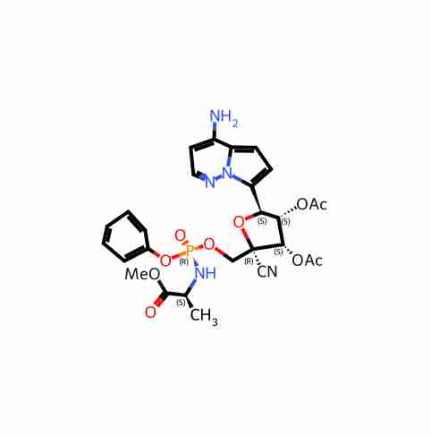 COC(=O)[C@H](C)N[P@@](=O)(OC[C@@]1(C#N)O[C@@H](c2ccc3c(N)ccnn23)[C@H](OC(C)=O)[C@@H]1OC(C)=O)Oc1ccccc1